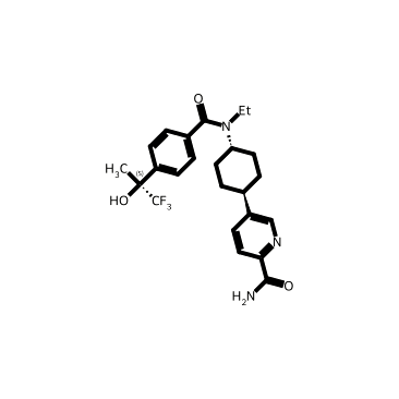 CCN(C(=O)c1ccc([C@](C)(O)C(F)(F)F)cc1)[C@H]1CC[C@H](c2ccc(C(N)=O)nc2)CC1